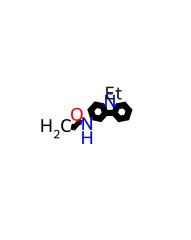 C=CC(=O)Nc1ccc2c(c1)c1ccccc1n2CC